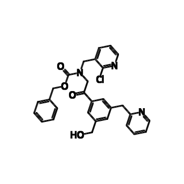 O=C(CN(Cc1cccnc1Cl)C(=O)OCc1ccccc1)c1cc(CO)cc(Cc2ccccn2)c1